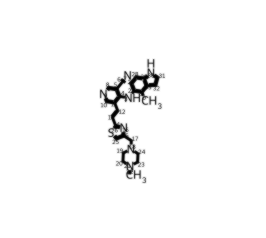 Cc1c(Nc2c(C#N)cncc2C=Cc2nc(CN3CCN(C)CC3)cs2)ccc2[nH]ccc12